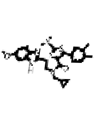 COc1ccc2nc(CCN(CC3CC3)C(=O)c3nc(N(C)C)sc3-c3ccc(C)c(C)c3)[nH]c2c1